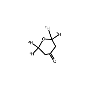 [2H]C1([2H])CC(=O)CC([2H])([2H])O1